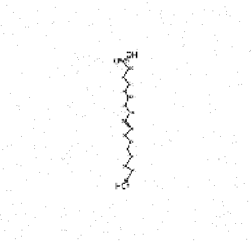 C#CCCCCCCC=CCCCCCCCC(=O)O